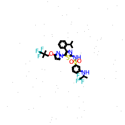 CC(C)c1ccccc1-c1nc(NS(=O)(=O)c2cccc(NC(C)C(F)(F)F)c2)sc1-n1ccc(OCC(C)(C)C(F)(F)F)n1